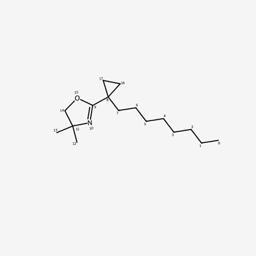 CCCCCCCCC1(C2=NC(C)(C)CO2)CC1